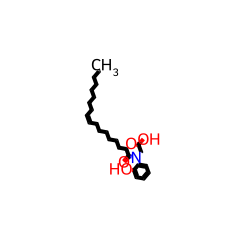 CCCCCCCC/C=C\CCCCCCCC(=O)N(CC(=O)O)c1ccccc1O